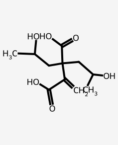 C=C(C(=O)O)C(CC(C)O)(CC(C)O)C(=O)O